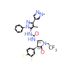 Cc1c(-c2cnn(C)c2)nn(-c2ccccc2)c1NC(=O)N[C@@H]1CN(CC(F)(F)F)C(=O)[C@H]1c1ccc(F)c(F)c1